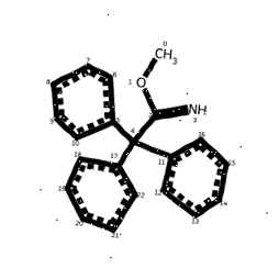 COC(=N)C(c1ccccc1)(c1ccccc1)c1ccccc1